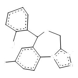 Clc1ccc2c(c1)C(c1ccccc1Cl)OCc1nncn1-2